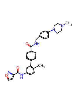 Cc1ccc(NC(=O)c2ccon2)cc1-c1ccc(C(=O)NCc2ccc(N3CCN(C)CC3)cc2)cc1